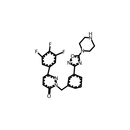 O=c1ccc(-c2cc(F)c(F)c(F)c2)nn1Cc1cccc(-c2noc(N3CCNCC3)n2)c1